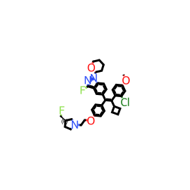 COc1ccc(C(=C(c2ccc(OCCN3CC[C@@H](CF)C3)cc2)c2ccc3c(c2)c(F)nn3C2CCCCO2)C2CCC2)c(Cl)c1